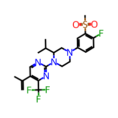 C=C(C)c1cnc(N2CCN(c3ccc(F)c(S(C)(=O)=O)c3)CC2C(C)C)nc1C(F)(F)F